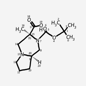 CC(C)(C)OC(=O)N1C[C@H]2CCCN2C[C@@]1(C)C(=O)O